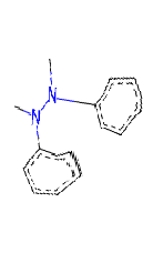 CN(c1ccccc1)N(C)c1ccccc1